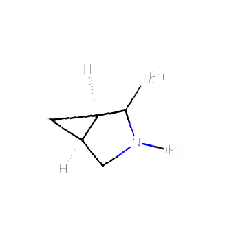 CC(C)N1C[C@H]2C[C@H]2C1C(C)(C)C